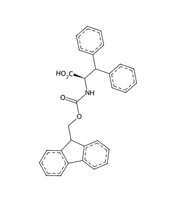 O=C(N[C@@H](C(=O)O)C(c1ccccc1)c1ccccc1)OCC1c2ccccc2-c2ccccc21